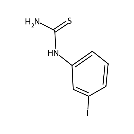 NC(=S)Nc1cccc(I)c1